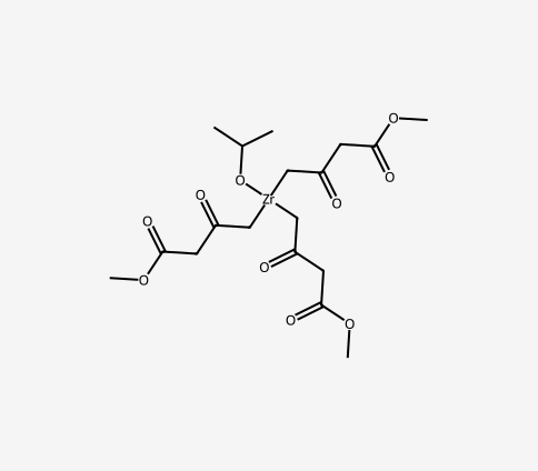 COC(=O)CC(=O)[CH2][Zr]([CH2]C(=O)CC(=O)OC)([CH2]C(=O)CC(=O)OC)[O]C(C)C